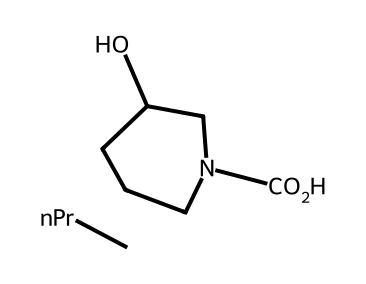 CCCC.O=C(O)N1CCCC(O)C1